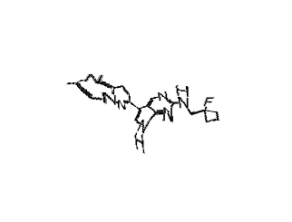 Cc1cn2nc(-c3c[nH]c4nc(NCC5(F)CCC5)ncc34)ccc2n1